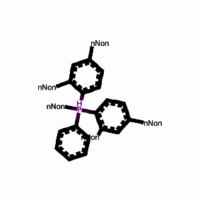 CCCCCCCCCc1ccc([PH](CCCCCCCCC)(c2ccccc2)c2ccc(CCCCCCCCC)cc2CCCCCCCCC)c(CCCCCCCCC)c1